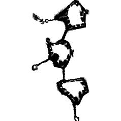 Cc1ccncc1-c1nc(-c2ccc(Cl)cc2)c(Cl)s1